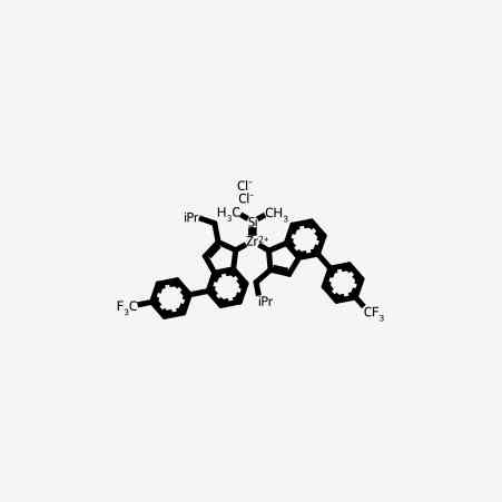 CC(C)CC1=Cc2c(-c3ccc(C(F)(F)F)cc3)cccc2[CH]1[Zr+2]([CH]1C(CC(C)C)=Cc2c(-c3ccc(C(F)(F)F)cc3)cccc21)=[Si](C)C.[Cl-].[Cl-]